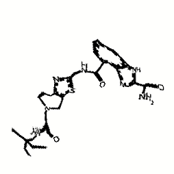 CC(C)(C)NC(=O)N1CCc2nc(NC(=O)c3cccc4[nH]c(C(N)=O)nc34)sc2C1